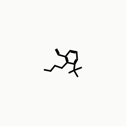 C=Cc1cccc(C(C)(C)C)c1CCCC